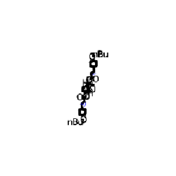 CCCCOc1ccc(/C=C/C(=O)O[C@@H]2CO[C@H]3[C@@H]2CC[C@H]3OC(=O)/C=C/c2ccc(OCCCC)cc2)cc1